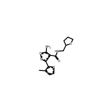 Cc1ccsc1-c1noc(N)c1C(=O)NCC1CCCO1